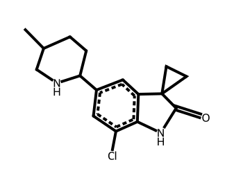 CC1CCC(c2cc(Cl)c3c(c2)C2(CC2)C(=O)N3)NC1